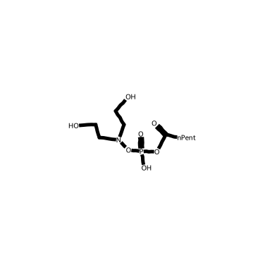 CCCCCC(=O)OP(=O)(O)ON(CCO)CCO